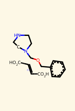 O=C(O)/C=C/C(=O)O.c1ccc(COCN2CCNCC2)cc1